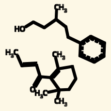 C/C=C/C(=O)C1=C(C)CCCC1(C)C.CC(CCO)CCc1ccccc1